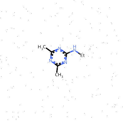 CCNc1nc(C)nc(C)n1